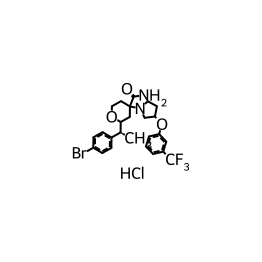 C[C@@H](c1ccc(Br)cc1)C1CC(C(N)=O)(N2CC[C@@H](Oc3cccc(C(F)(F)F)c3)C2)CCO1.Cl